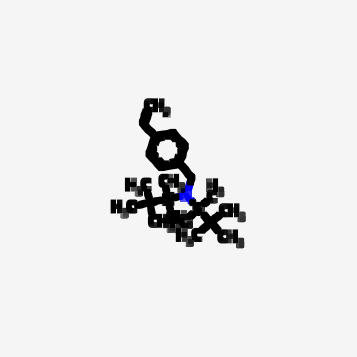 C=Cc1ccc(CN([Si](C)(C)C(C)(C)C)[Si](C)(C)C(C)(C)C)cc1